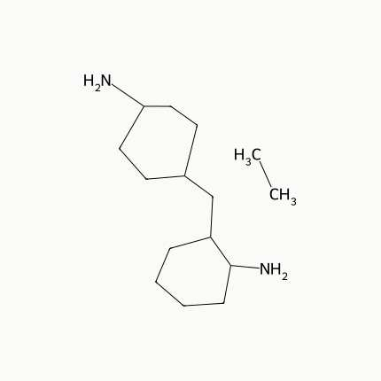 CC.NC1CCC(CC2CCCCC2N)CC1